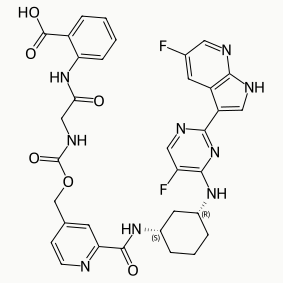 O=C(CNC(=O)OCc1ccnc(C(=O)N[C@H]2CCC[C@@H](Nc3nc(-c4c[nH]c5ncc(F)cc45)ncc3F)C2)c1)Nc1ccccc1C(=O)O